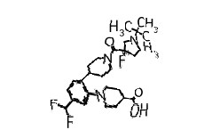 CC(C)(C)N1CC[C@](F)(C(=O)N2CCC(c3ccc(C(F)F)cc3N3CCC(C(=O)O)CC3)CC2)C1